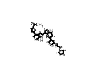 CC(=O)c1ccc(-c2cncc3[nH]c(-c4n[nH]c5ccc(-c6cncc(OCCN7CCCC7)c6)nc45)cc23)s1